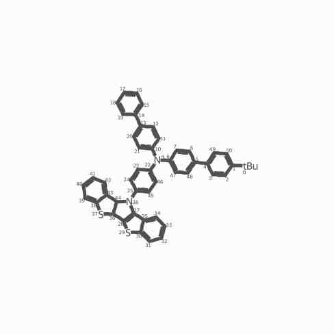 CC(C)(C)c1ccc(-c2ccc(N(c3ccc(-c4ccccc4)cc3)c3ccc(N4c5c(sc6ccccc56)C5Sc6ccccc6C54)cc3)cc2)cc1